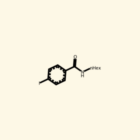 CCCCCCNC(=O)c1ccc(I)cc1